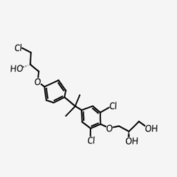 CC(C)(c1ccc(OC[C@H](O)CCl)cc1)c1cc(Cl)c(OC[C@H](O)CO)c(Cl)c1